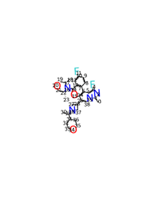 Cc1nc(F)c2c(-c3ccc(F)cc3C(=O)N3[C@H](C)COC[C@H]3C)cc(C3CN([C@H](C)C4CCOCC4)C3)cn12